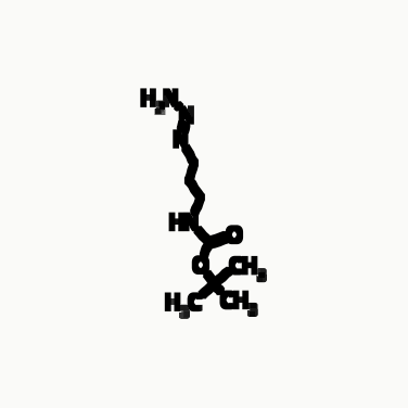 CC(C)(C)OC(=O)NCCCN=NN